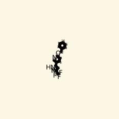 FC(F)(F)c1cc(-c2ccc(OCc3ccccc3)nc2)[nH]n1